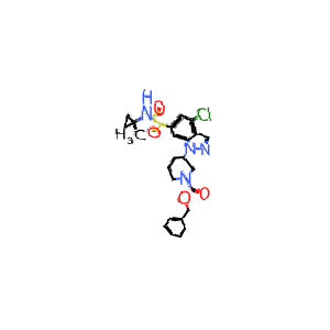 CC1(NS(=O)(=O)c2cc(Cl)c3cnn(C4CCCN(C(=O)OCc5ccccc5)C4)c3c2)CC1